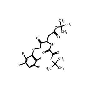 CC(C)(C)OC(=O)CC(NC(=O)C(=O)OC(C)(C)C)C(=O)COc1c(F)c(F)cc(F)c1F